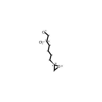 ClC[C@@H](Cl)CCCC[C@@H]1CO1